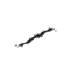 C=CC(=O)OCCCCCCOc1ccc(C(=O)Oc2ccc(C=CC(=O)O[C@H]3COC4C3OC[C@H]4OC(=O)c3ccc(OCCCCCCOC(=O)C=C)cc3)cc2)cc1